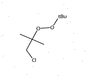 CC(C)(C)OOC(C)(C)CCl